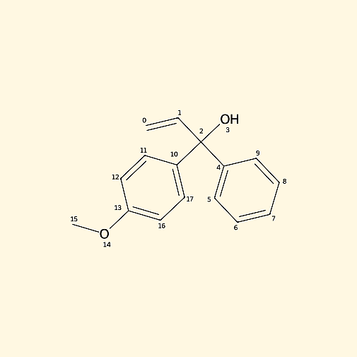 C=CC(O)(c1ccccc1)c1ccc(OC)cc1